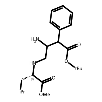 COC(=O)[C@H](CC(C)C)NCC(N)C(C(=O)OC(C)(C)C)c1ccccc1